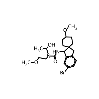 COCCN(C(=O)NC1c2cc(Br)ccc2CC12CCC(OC)CC2)C(C)O